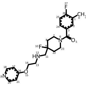 Cc1cc(C(=O)N2CCC(F)(CNCCOc3ccncc3)CC2)ccc1F